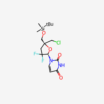 CC(C)(C)[Si](C)(C)OC[C@]1(CCl)CC(F)(F)[C@H](n2ccc(=O)[nH]c2=O)O1